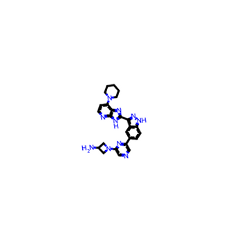 NC1CN(c2cncc(-c3ccc4[nH]nc(-c5nc6c(N7CCCCC7)ccnc6[nH]5)c4c3)n2)C1